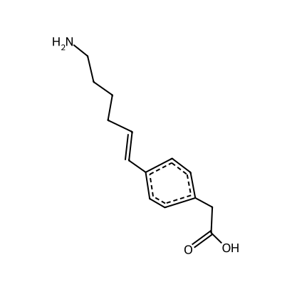 NCCCC/C=C/c1ccc(CC(=O)O)cc1